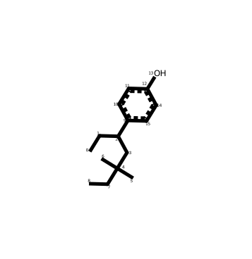 CCC(CC(C)(C)CC)c1ccc(O)cc1